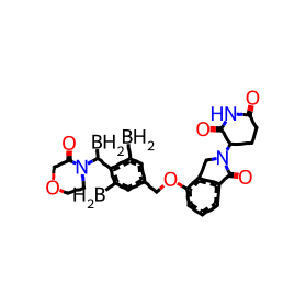 Bc1cc(COc2cccc3c2CN(C2CCC(=O)NC2=O)C3=O)cc(B)c1C(B)N1CCOCC1=O